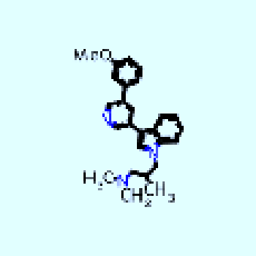 COc1cccc(-c2cncc(-c3cn(CC(C)CN(C)C)c4ccccc34)c2)c1